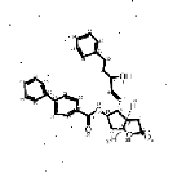 O=C1C[C@@H]2[C@@H](/C=C/C(O)CCc3ccccc3)[C@H](OC(=O)c3ccc(-c4ccccc4)cc3)C[C@@H]2O1